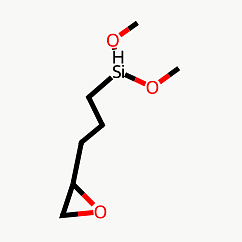 CO[SiH](CCCC1CO1)OC